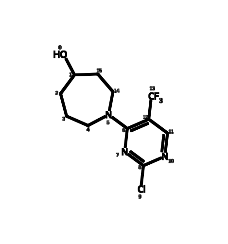 OC1CCCN(c2nc(Cl)ncc2C(F)(F)F)CC1